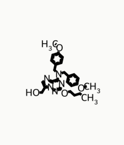 CCCCOc1nc(N(Cc2ccc(OC)cc2)Cc2ccc(OC)cc2)c2ncc(CO)n2n1